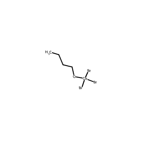 CCCC[O][Ge]([Br])([Br])[Br]